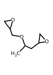 CC(CC1CO1)OCC1CO1